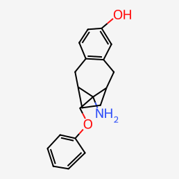 NC1(COc2ccccc2)C2CCC1Cc1cc(O)ccc1C2